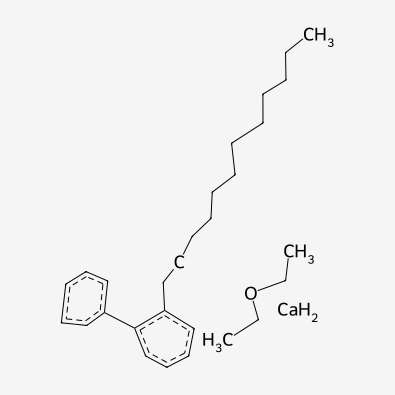 CCCCCCCCCCCCc1ccccc1-c1ccccc1.CCOCC.[CaH2]